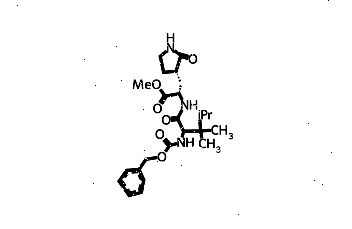 COC(=O)[C@H](C[C@@H]1CCNC1=O)NC(=O)C(NC(=O)OCc1ccccc1)C(C)(C)C(C)C